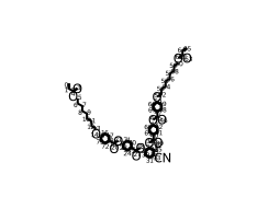 C=CC(=O)OCCCCCCCCCOc1ccc(C(=O)Oc2ccc(C(=O)Oc3ccc(C#N)c(F)c3OC(=O)c3ccc(OC(=O)c4ccc(OCCCCCCCCCOC(=O)C=C)cc4)cc3)cc2)cc1